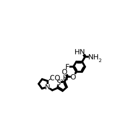 N=C(N)c1ccc(OC(=O)c2ccc(CN3CCC[C@@H]3C(=O)O)s2)c(F)c1